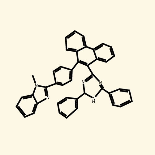 Cn1c(-c2ccc(-c3c(C4=NC(c5ccccc5)NC(c5ccccc5)=N4)c4ccccc4c4ccccc34)cc2)nc2ccccc21